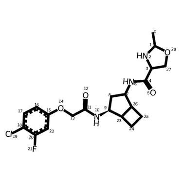 CC1NC(C(=O)NC2C[C@H](NC(=O)COc3ccc(Cl)c(F)c3)C3CCC23)CO1